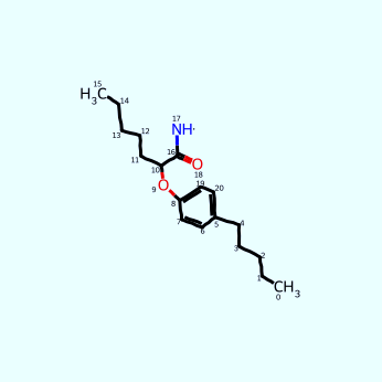 CCCCCc1ccc(OC(CCCCC)C([NH])=O)cc1